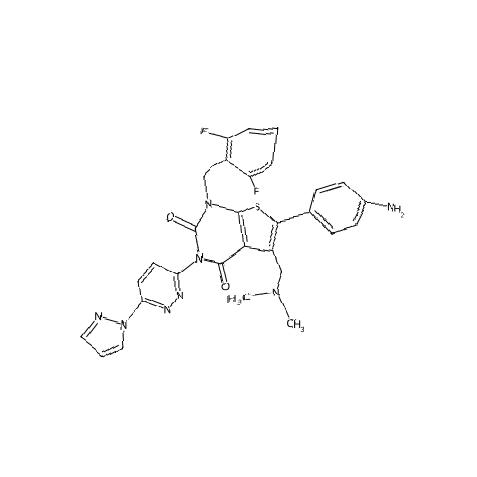 CN(C)Cc1c(-c2ccc(N)cc2)sc2c1c(=O)n(-c1ccc(-n3cccn3)nn1)c(=O)n2Cc1c(F)cccc1F